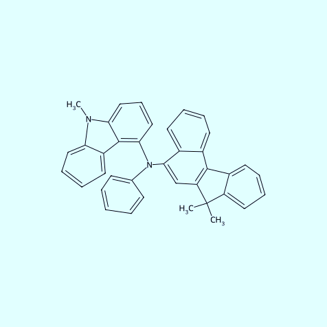 Cn1c2ccccc2c2c(N(c3ccccc3)c3cc4c(c5ccccc35)-c3ccccc3C4(C)C)cccc21